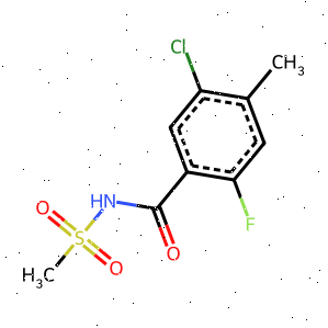 Cc1cc(F)c(C(=O)NS(C)(=O)=O)cc1Cl